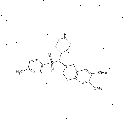 COc1cc2c(cc1OC)CN(C(C1CCNCC1)S(=O)(=O)c1ccc(C)cc1)CC2